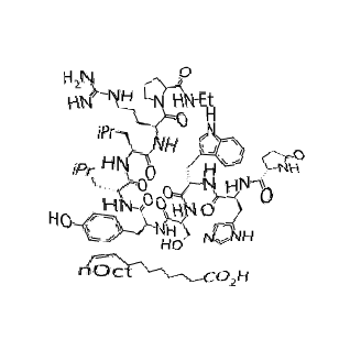 CCCCCCCC/C=C\CCCCCCCC(=O)O.CCNC(=O)[C@@H]1CCCN1C(=O)[C@H](CCCNC(=N)N)NC(=O)[C@H](CC(C)C)NC(=O)[C@@H](CC(C)C)NC(=O)[C@H](Cc1ccc(O)cc1)NC(=O)[C@H](CO)NC(=O)[C@H](Cc1c[nH]c2ccccc12)NC(=O)[C@H](Cc1cnc[nH]1)NC(=O)[C@@H]1CCC(=O)N1